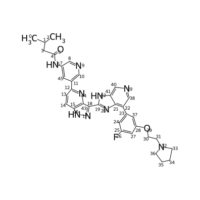 CC(C)CC(=O)Nc1cncc(-c2ccc3[nH]nc(-c4nc5c(-c6cc(F)cc(OCCN7CCCC7)c6)cncc5[nH]4)c3n2)c1